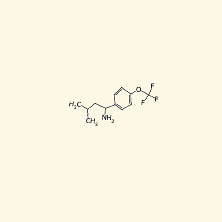 CC(C)CC(N)c1ccc(OC(F)(F)F)cc1